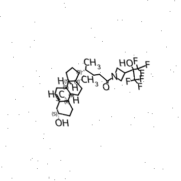 CC(CCC(=O)N1CC(C(O)(C(F)(F)F)C(F)(F)F)C1)[C@H]1CC[C@H]2[C@@H]3CC=C4C[C@@H](O)CC[C@]4(C)[C@H]3CC[C@]12C